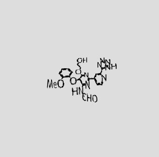 COc1ccccc1Oc1c(NC=O)nc(-c2ccnc(-c3nnn[nH]3)c2)nc1OCCO